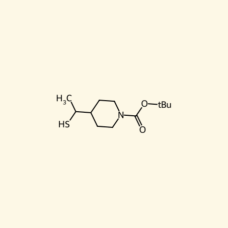 CC(S)C1CCN(C(=O)OC(C)(C)C)CC1